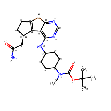 CN(C(=O)OC(C)(C)C)C1CCC(Nc2ncnc3sc4c(c23)[C@@H](CC(N)=O)CC4)CC1